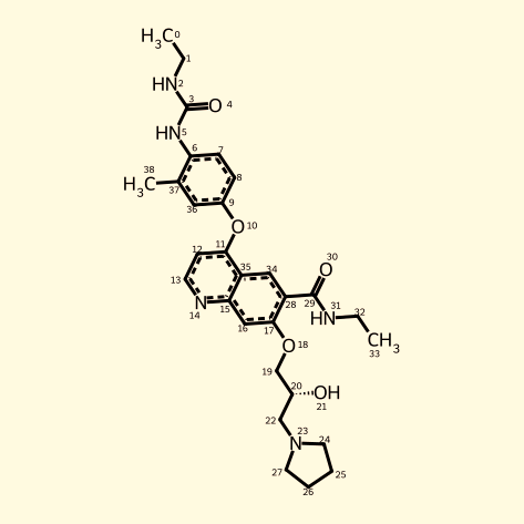 CCNC(=O)Nc1ccc(Oc2ccnc3cc(OC[C@H](O)CN4CCCC4)c(C(=O)NCC)cc23)cc1C